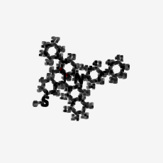 CSc1ccc2cccc(-c3cc4ccccc4cc3N(c3ccc(-c4ccccc4)cc3)c3ccc(-c4ccccc4)cc3)c2c1